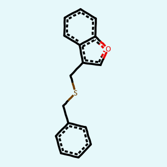 c1ccc(CSCc2coc3ccccc23)cc1